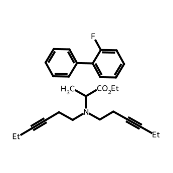 CCC#CCCN(CCC#CCC)C(C)C(=O)OCC.Fc1ccccc1-c1ccccc1